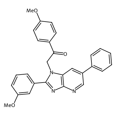 COc1ccc(C(=O)Cn2c(-c3cccc(OC)c3)nc3ncc(-c4ccccc4)cc32)cc1